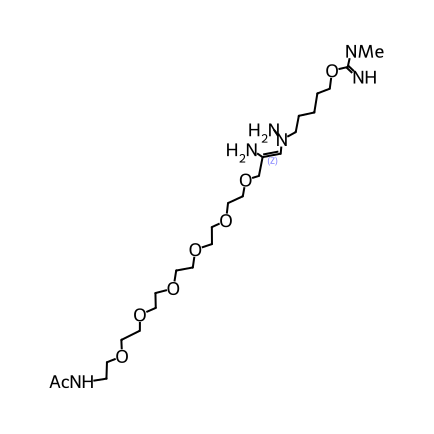 CNC(=N)OCCCCCN(N)/C=C(\N)COCCOCCOCCOCCOCCOCCNC(C)=O